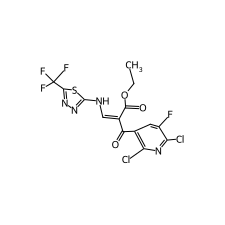 CCOC(=O)C(=CNc1nnc(C(F)(F)F)s1)C(=O)c1cc(F)c(Cl)nc1Cl